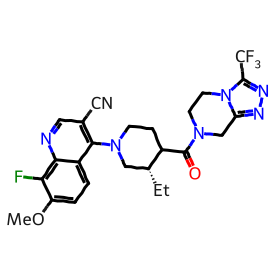 CC[C@@H]1CN(c2c(C#N)cnc3c(F)c(OC)ccc23)CCC1C(=O)N1CCn2c(nnc2C(F)(F)F)C1